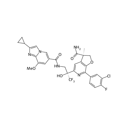 COc1cc(C(=O)NC[C@](O)(c2cc3c(c(-c4ccc(F)c(Cl)c4)n2)OC[C@]3(C)C(N)=O)C(F)(F)F)cn2cc(C3CC3)nc12